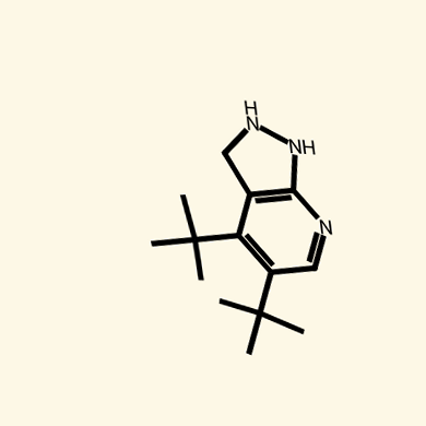 CC(C)(C)c1cnc2c(c1C(C)(C)C)CNN2